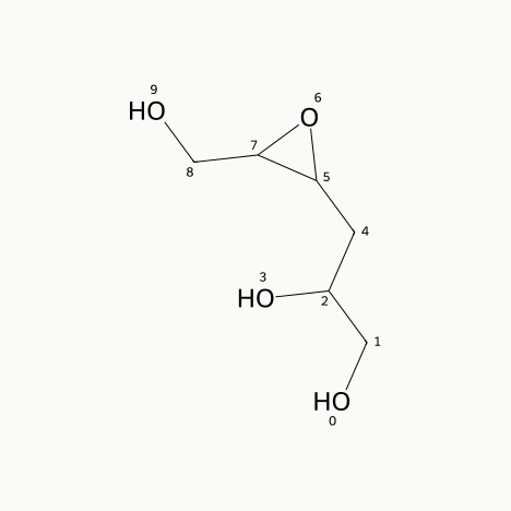 OCC(O)CC1OC1CO